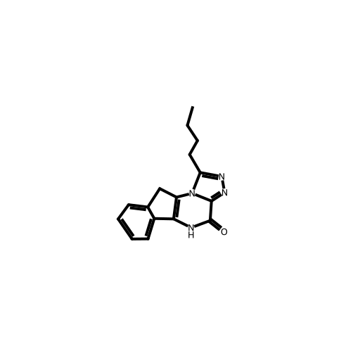 CCCCc1nnc2c(=O)[nH]c3c(n12)Cc1ccccc1-3